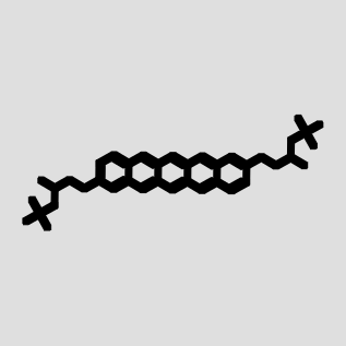 CC(CCc1ccc2cc3cc4cc5cc(CCC(C)CC(C)(C)C)ccc5cc4cc3cc2c1)CC(C)(C)C